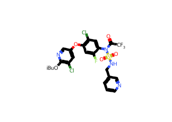 CC(C)COc1ncc(Oc2cc(F)c(N(C(=O)C(F)(F)F)S(=O)(=O)NCc3cccnc3)cc2Cl)cc1Cl